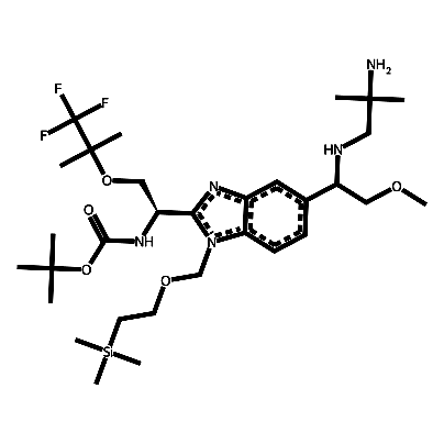 COCC(NCC(C)(C)N)c1ccc2c(c1)nc([C@H](COC(C)(C)C(F)(F)F)NC(=O)OC(C)(C)C)n2COCC[Si](C)(C)C